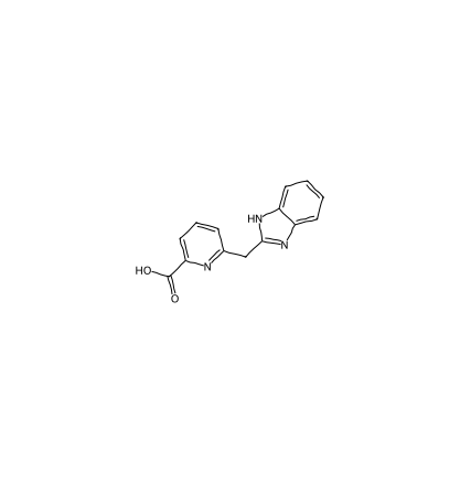 O=C(O)c1cccc(Cc2nc3ccccc3[nH]2)n1